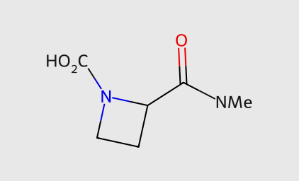 CNC(=O)C1CCN1C(=O)O